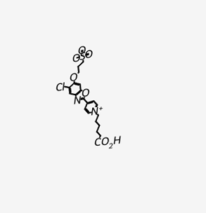 O=C(O)CCCCC[n+]1ccc(-c2nc3cc(Cl)c(OCCCS(=O)(=O)[O-])cc3o2)cc1